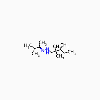 CCC(C)C(C)(C)CN/N=C(\C)C(C)C